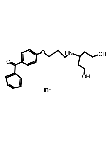 Br.O=C(c1ccccc1)c1ccc(OCCCNC(CCO)CCO)cc1